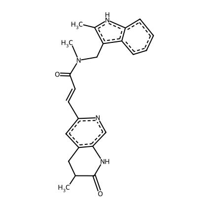 Cc1[nH]c2ccccc2c1CN(C)C(=O)/C=C/c1cc2c(cn1)NC(=O)C(C)C2